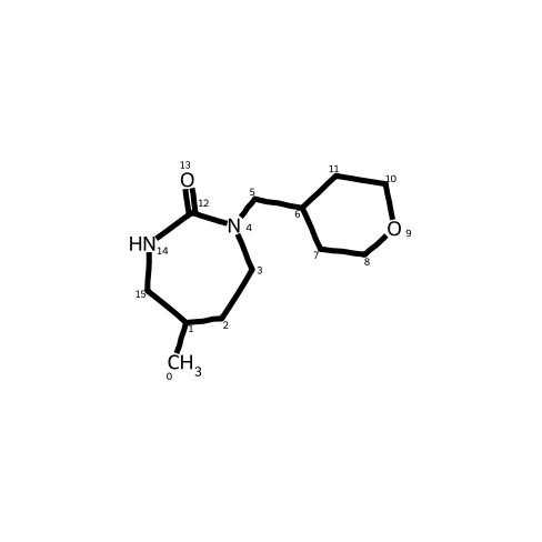 CC1CCN(CC2CCOCC2)C(=O)NC1